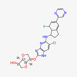 O[C@@H]1CO[C@H]2[C@@H]1OC[C@H]2Oc1nc2nc(NC3CCC4=CC(c5cnccn5)=CC(F)C43)c(Cl)cc2[nH]1